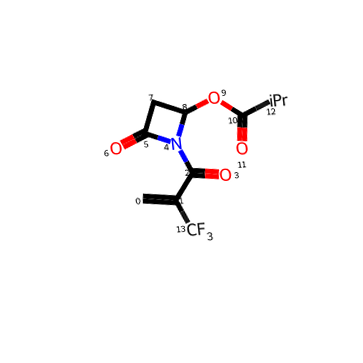 C=C(C(=O)N1C(=O)CC1OC(=O)C(C)C)C(F)(F)F